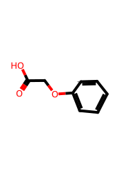 O=C(O)COc1[c]cccc1